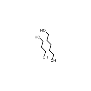 OCCCCCO.OCCCO